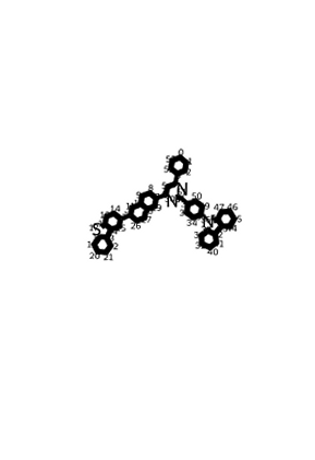 c1ccc(-c2cc(-c3ccc4cc(-c5ccc6sc7ccccc7c6c5)ccc4c3)nc(-c3ccc(-n4c5ccccc5c5ccccc54)cc3)n2)cc1